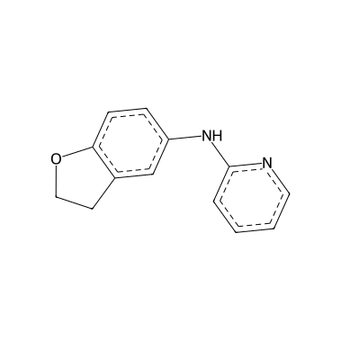 c1ccc(Nc2ccc3c(c2)CCO3)nc1